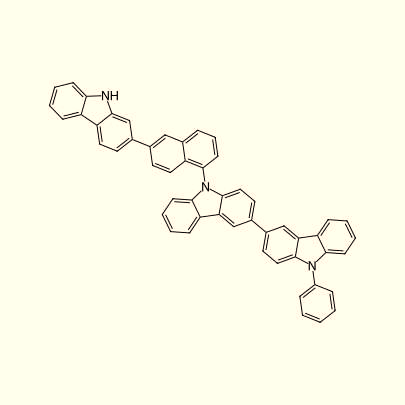 c1ccc(-n2c3ccccc3c3cc(-c4ccc5c(c4)c4ccccc4n5-c4cccc5cc(-c6ccc7c(c6)[nH]c6ccccc67)ccc45)ccc32)cc1